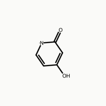 O=C1C=C(O)C=C[N]1